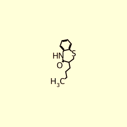 CCCCC1CSc2ccccc2NC1=O